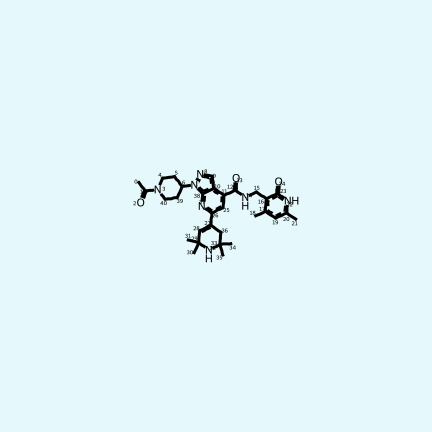 CC(=O)N1CCC(n2ncc3c(C(=O)NCc4c(C)cc(C)[nH]c4=O)cc(C4=CC(C)(C)NC(C)(C)C4)nc32)CC1